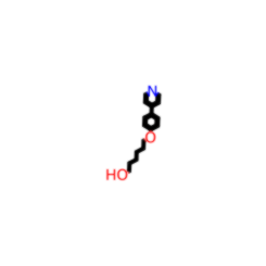 OCCCCCCOc1ccc(-c2ccncc2)cc1